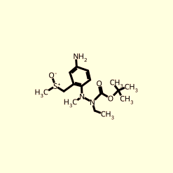 CCN(C(=O)OC(C)(C)C)N(C)c1ccc(N)cc1C[S+](C)[O-]